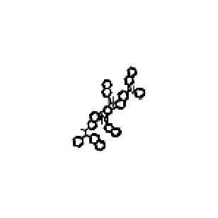 CC(c1ccc2c(ccc3c4cc5c(cc4n(-c4ccc6ccccc6c4)c23)c2ccc3cc(N(c4ccccc4)c4ccc6ccccc6c4)ccc3c2n5-c2ccc3ccccc3c2)c1)[C@H](c1ccccc1)c1ccc2ccccc2c1